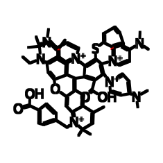 CCN1c2cc3c(cc2C(C)=CC1(C)C)C(c1c(C(=O)O)c(-[n+]2ccc(N(C)C)cc2)c(-[n+]2ccc(N(C)C)cc2)c(Sc2ccccc2)c1-[n+]1ccc(N(C)C)cc1)=c1cc2c(cc1O3)=[N+](Cc1ccc(C(=O)O)cc1)C(C)(C)C=C2C